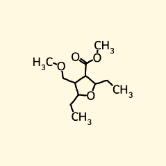 CCC1OC(CC)C(C(=O)OC)C1COC